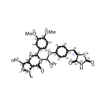 CCCc1nn(C)c2c(=O)n(C(CCC)Oc3ccc(/C=C4/SC(=O)NC4=O)cc3)c(-c3ccc(OC)c(OC)c3)nc12